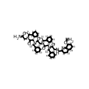 C[C@@H](c1ccccc1)N(CC(N)=O)C(=O)CN(C(=O)CN(C(=O)CN(C(=O)CNCc1ccc2cccc(ON)c2n1)[C@@H](C)c1ccccc1)[C@@H](C)c1ccccc1)[C@@H](C)c1ccccc1